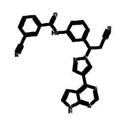 N#CCC(c1cccc(NC(=O)c2cccc(C#N)c2)c1)n1cc(-c2ncnc3[nH]ccc23)cn1